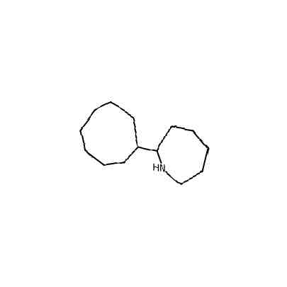 C1CCCC(C2CCCCCN2)CCC1